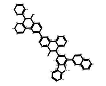 CC1c2ccc(-c3ccc4c(c3)-c3ccccc3C(c3cc(-c5ccc6ccccc6c5)c5sc6ccccc6c5c3)C4C)cc2C2=C(CCC=C2)C1C1=CC=CCC1